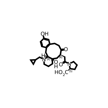 O=C1CCc2cc(O)ccc2C[C@H]2N(CC3CC3)CCC[C@@]2(O)C[C@@H]1CC(=O)N1CCC[C@H]1C(=O)O